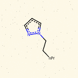 CCCCCn1cc[c]n1